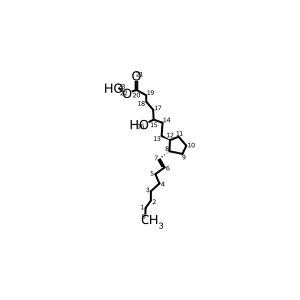 CCCCCC/C=C/[C@H]1CCC[C@@H]1CCC(O)CCCC(=O)OO